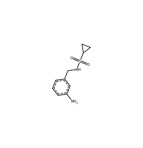 Nc1cccc(CNS(=O)(=O)C2CC2)c1